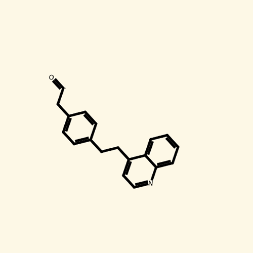 O=[C]Cc1ccc(CCc2ccnc3ccccc23)cc1